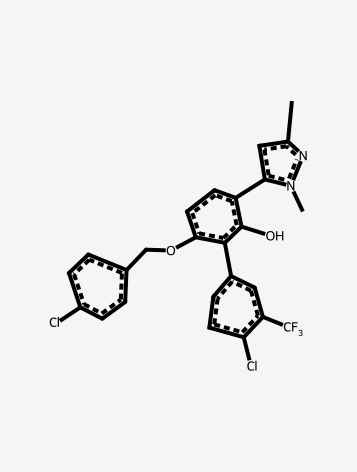 Cc1cc(-c2ccc(OCc3ccc(Cl)cc3)c(-c3ccc(Cl)c(C(F)(F)F)c3)c2O)n(C)n1